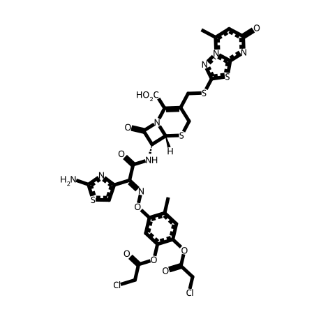 Cc1cc(OC(=O)CCl)c(OC(=O)CCl)cc1ON=C(C(=O)N[C@@H]1C(=O)N2C(C(=O)O)=C(CSc3nn4c(C)cc(=O)nc4s3)CS[C@H]12)c1csc(N)n1